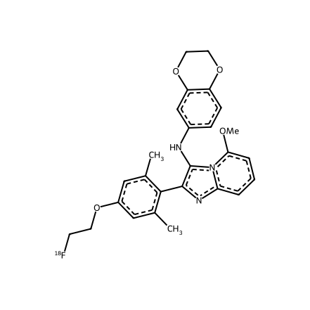 COc1cccc2nc(-c3c(C)cc(OCC[18F])cc3C)c(Nc3ccc4c(c3)OCCO4)n12